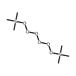 C[Si](C)(C)OOOOOO[Si](C)(C)C